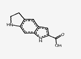 O=C(O)c1cc2cc3c(cc2[nH]1)NCC3